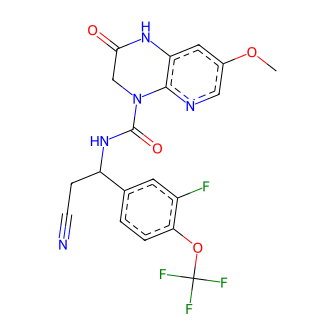 COc1cnc2c(c1)NC(=O)CN2C(=O)NC(CC#N)c1ccc(OC(F)(F)F)c(F)c1